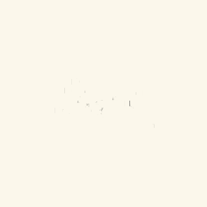 CC(C)CCCC(C)C1CCC2C3C[C@@H](O)[C@@]4(O)C[C@@H](O)CC[C@]4(C)[C@H]3[C@@H](O)C[C@]12C